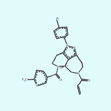 C=CC(=O)N1CCc2nn(-c3ccc(C(C)C)cc3)c3c2[C@H](C1)N(C(=O)c1ccc(C(F)(F)F)nc1)CC3